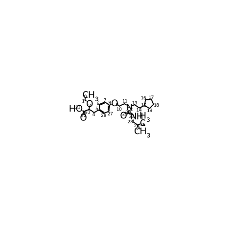 CCOC(Cc1ccc(OCCN(CCC2CCCC2)C(=O)NCC(C)C)cc1)C(=O)O